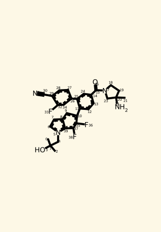 CC(C)(O)Cn1ccc2cc(-c3ccc(C(=O)N4CCC(C)(N)C4)cc3-c3ccc(C#N)c(F)c3)c(F)c(F)c21